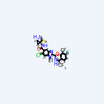 CCn1c(C(=O)NC(c2ccc(F)c(C(F)(F)F)c2)C(F)(F)F)nc2cc(C(=O)NC3(C(N)=S)CC3)c(Cl)cc21